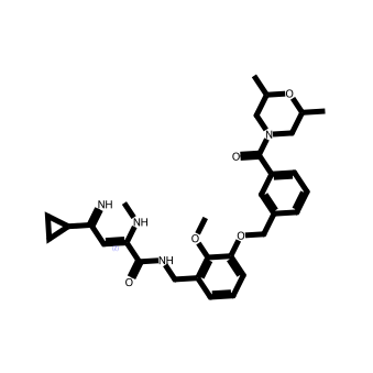 CN/C(=C\C(=N)C1CC1)C(=O)NCc1cccc(OCc2cccc(C(=O)N3CC(C)OC(C)C3)c2)c1OC